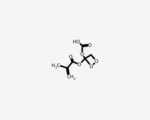 C=C(C)C(=O)OC1(OC(=O)O)COO1